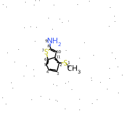 CSc1cccc2sc(N)cc12